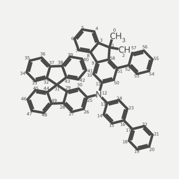 CC1(C)c2ccccc2-c2cc(N(c3ccc(-c4ccccc4)cc3)c3ccc4c(c3)C3(c5ccccc5-c5ccccc53)c3ccccc3-4)cc(-c3ccccc3)c21